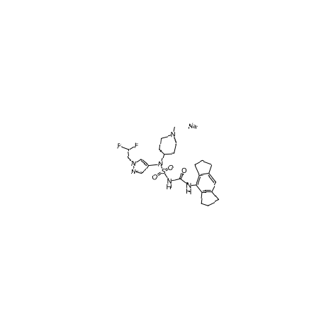 CN1CCC(N(c2cnn(CC(F)F)c2)S(=O)(=O)NC(=O)Nc2c3c(cc4c2CCC4)CCC3)CC1.[Na]